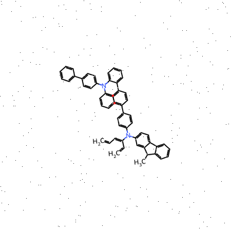 C=C/C=C(\C=C)N(c1ccc(-c2ccc(-c3ccccc3N(c3ccccc3)c3ccc(-c4ccccc4)cc3)cc2)cc1)c1ccc2c(c1)C(C)c1ccccc1-2